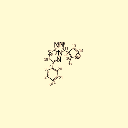 Cc1ccc(C2=Nn3c(nnc3-c3ccoc3C)SC2)cc1